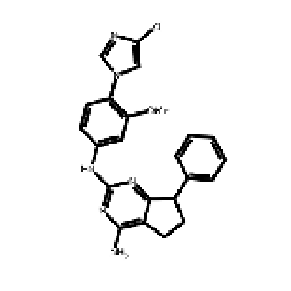 COc1cc(Nc2nc(N)c3c(n2)C(c2ccccc2)CC3)ccc1-n1cnc(Cl)c1